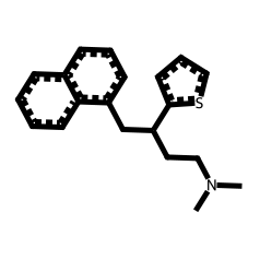 CN(C)CCC(Cc1cccc2ccccc12)c1cccs1